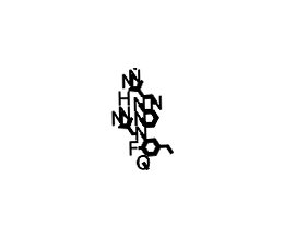 CCc1cc(OC)c(F)c(N(Cc2cn[nH]c2)c2ccc3ncc(-c4cnn(C)c4)nc3n2)c1